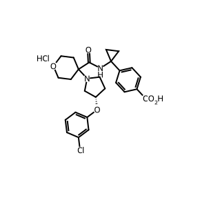 Cl.O=C(O)c1ccc(C2(NC(=O)C3(N4CC[C@H](Oc5cccc(Cl)c5)C4)CCOCC3)CC2)cc1